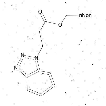 CCCCCCCCCCOC(=O)CCn1nnc2ccccc21